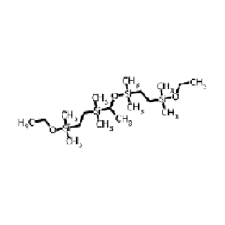 CCO[Si](C)(C)CC[Si](C)(C)OC(C)[Si](C)(C)CC[Si](C)(C)OCC